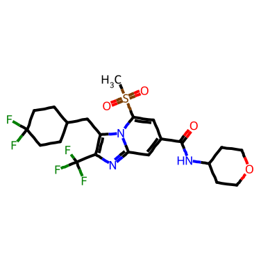 CS(=O)(=O)c1cc(C(=O)NC2CCOCC2)cc2nc(C(F)(F)F)c(CC3CCC(F)(F)CC3)n12